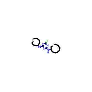 Clc1nc(NC2CCCCCCCCC2)nc(NC2CCCCCCCC2)n1